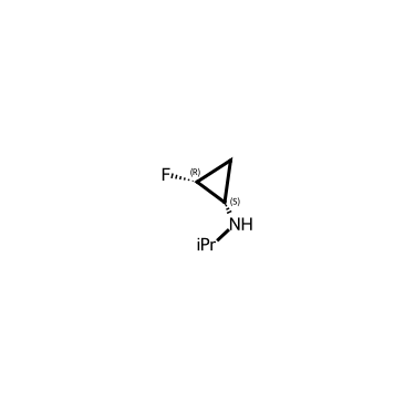 CC(C)N[C@H]1C[C@H]1F